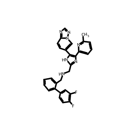 Cc1cccc(-c2nc(CNCc3ccccc3-c3ccc(F)c(F)c3)[nH]c2-c2ccc3ncnn3c2)n1